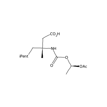 CCCC(C)C[C@](C)(CC(=O)O)NC(=O)O[C@H](C)OC(C)=O